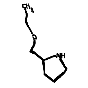 CCOCC1CCCN1